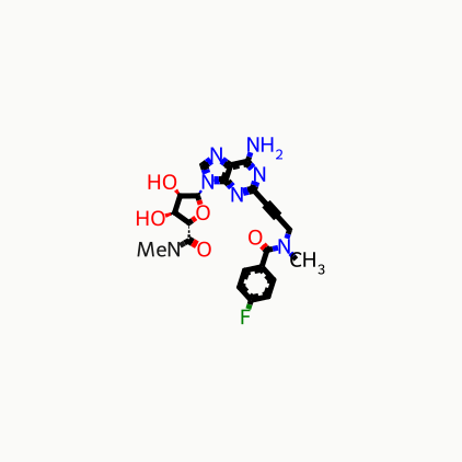 CNC(=O)[C@H]1O[C@@H](n2cnc3c(N)nc(C#CCN(C)C(=O)c4ccc(F)cc4)nc32)[C@H](O)[C@@H]1O